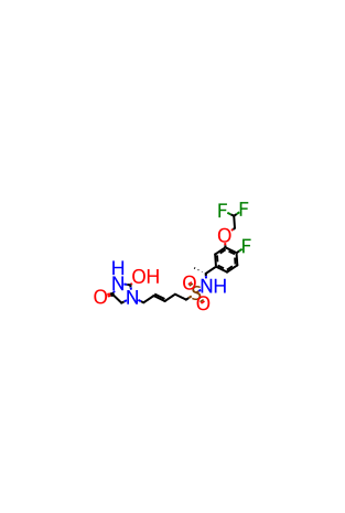 C[C@@H](NS(=O)(=O)CC/C=C/CN1CC(=O)NC1O)c1ccc(F)c(OCC(F)F)c1